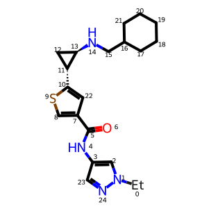 CCn1cc(NC(=O)c2csc([C@@H]3C[C@H]3NCC3CCCCC3)c2)cn1